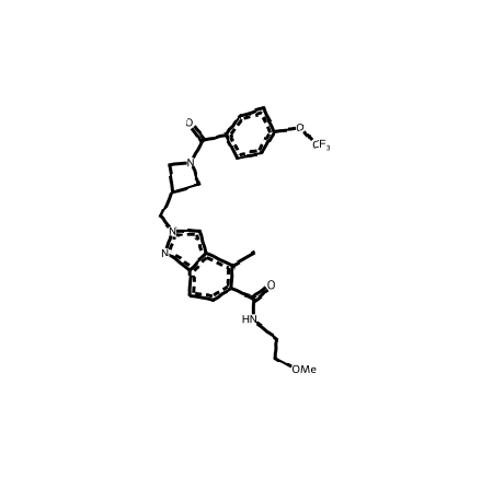 COCCNC(=O)c1ccc2nn(CC3CN(C(=O)c4ccc(OC(F)(F)F)cc4)C3)cc2c1C